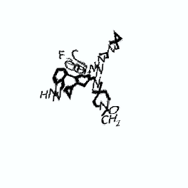 C=CC(=O)N1CCC2(CC1)CN(c1nc(N3CC(N4CC5(CC5)C4)C3)nc3c(OCC(F)(F)F)c(-c4c(C)ccc5[nH]ncc45)c(C4CC4)cc13)C2